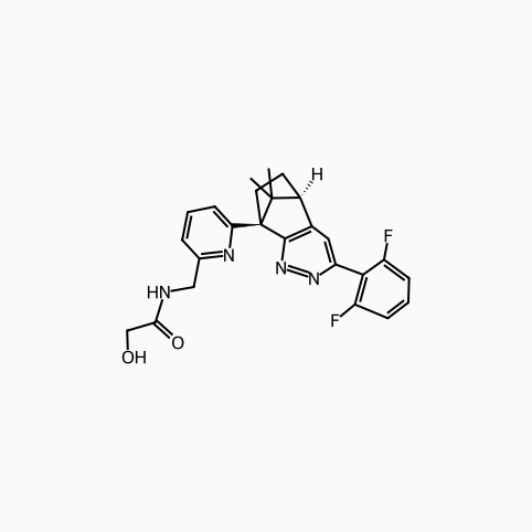 CC1(C)[C@H]2CC[C@@]1(c1cccc(CNC(=O)CO)n1)c1nnc(-c3c(F)cccc3F)cc12